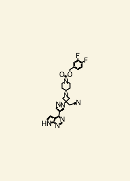 N#CCC1(n2cc(-c3ncnc4[nH]ccc34)cn2)CN(C2CCN(C(=O)OCc3ccc(F)c(F)c3)CC2)C1